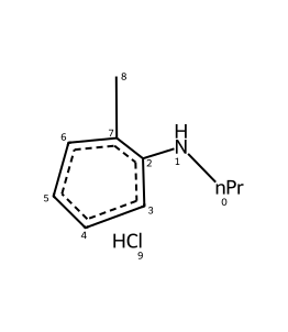 CCCNc1ccccc1C.Cl